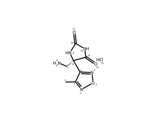 Cc1nonc1[C@@]1(CN)NC(=O)NC1=O.Cl